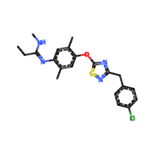 CCC(=Nc1cc(C)c(Oc2nc(Cc3ccc(Cl)cc3)ns2)cc1C)NC